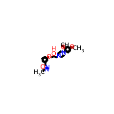 COc1ccc(N2CCN(CC(O)COc3cccc(-c4nnc(C)o4)c3)CC2)c(OC)c1